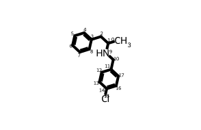 CC(Cc1ccccc1)NCc1ccc(Cl)cc1